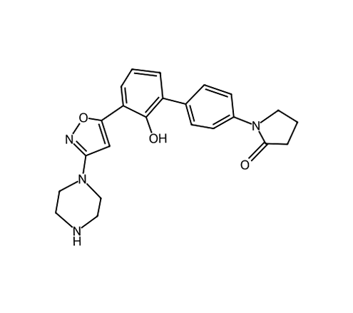 O=C1CCCN1c1ccc(-c2cccc(-c3cc(N4CCNCC4)no3)c2O)cc1